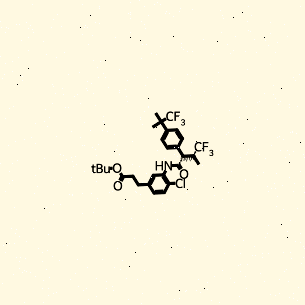 C[C@H]([C@H](C(=O)Nc1cc(CCC(=O)OC(C)(C)C)ccc1Cl)c1ccc(C(C)(C)C(F)(F)F)cc1)C(F)(F)F